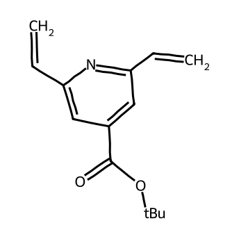 C=Cc1cc(C(=O)OC(C)(C)C)cc(C=C)n1